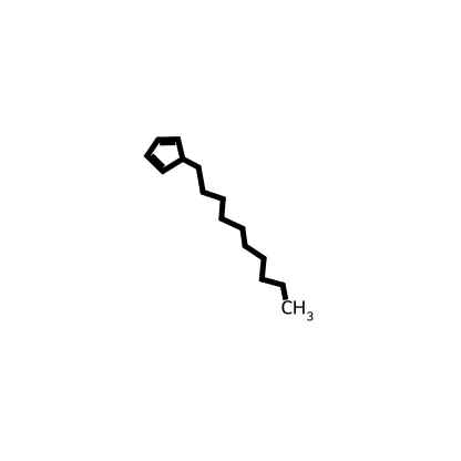 CCCCCCCCCCC1C=CC=C1